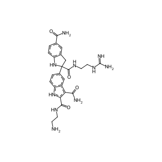 N=C(N)NCCNC(=O)C1(c2ccc3[nH]c(C(=O)NCCN)c(C(N)=O)c3c2)Cc2cc(C(N)=O)ccc2N1